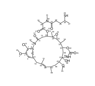 COc1cc2cc(c1Cl)N(C)C(=O)CC(OC(=O)C(C)N(C)C(=O)CCC(C)S)C1(C)OC1C(C)C1CC(O)(NC(=O)O1)C(OC)CC(C)/C=C(\C)C2